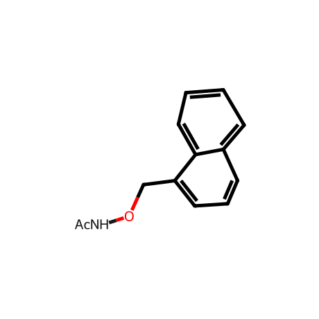 CC(=O)NOCc1cccc2ccccc12